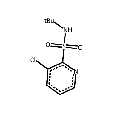 CC(C)(C)NS(=O)(=O)c1ncccc1Cl